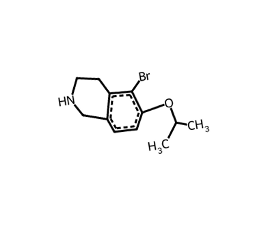 CC(C)Oc1ccc2c(c1Br)CCNC2